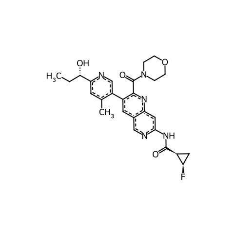 CC[C@H](O)c1cc(C)c(-c2cc3cnc(NC(=O)[C@H]4C[C@H]4F)cc3nc2C(=O)N2CCOCC2)cn1